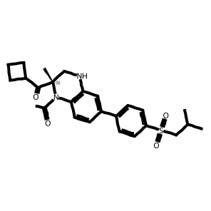 CC(=O)N1c2ccc(-c3ccc(S(=O)(=O)CC(C)C)cc3)cc2NC[C@@]1(C)C(=O)C1CCC1